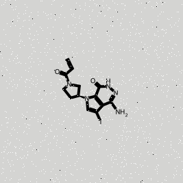 C=CC(=O)N1CC[C@H](n2cc(I)c3c(N)n[nH]c(=O)c32)C1